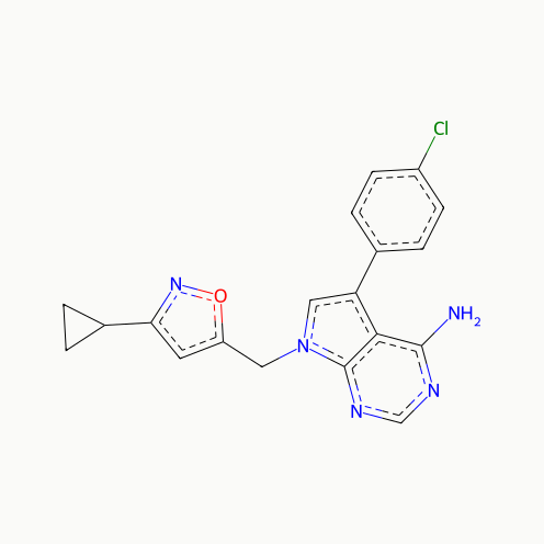 Nc1ncnc2c1c(-c1ccc(Cl)cc1)cn2Cc1cc(C2CC2)no1